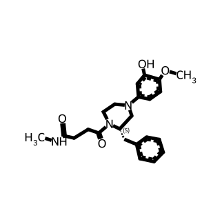 CNC(=O)CCC(=O)N1CCN(c2ccc(OC)c(O)c2)C[C@@H]1Cc1ccccc1